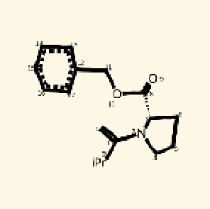 C=C(C(C)C)N1CCC[C@H]1C(=O)OCc1ccccc1